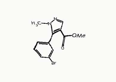 COC(=O)c1cnn(C)c1-c1cccc(Br)c1